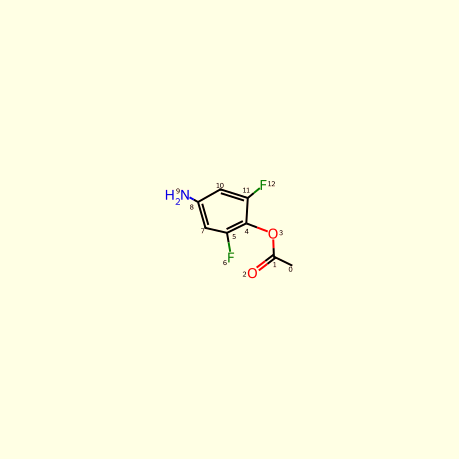 CC(=O)Oc1c(F)cc(N)cc1F